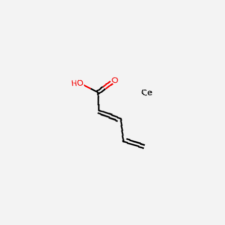 C=CC=CC(=O)O.[Ce]